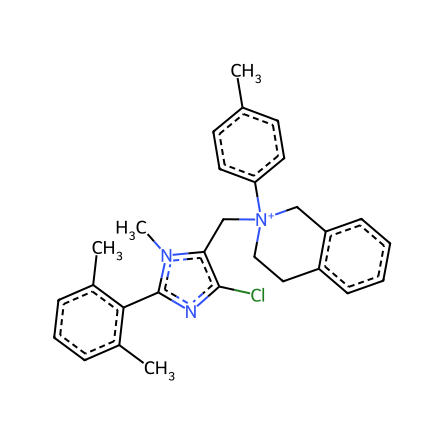 Cc1ccc([N+]2(Cc3c(Cl)nc(-c4c(C)cccc4C)n3C)CCc3ccccc3C2)cc1